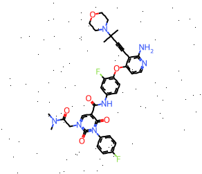 CN(C)C(=O)Cn1cc(C(=O)Nc2ccc(Oc3ccnc(N)c3C#CC(C)(C)N3CCOCC3)c(F)c2)c(=O)n(-c2ccc(F)cc2)c1=O